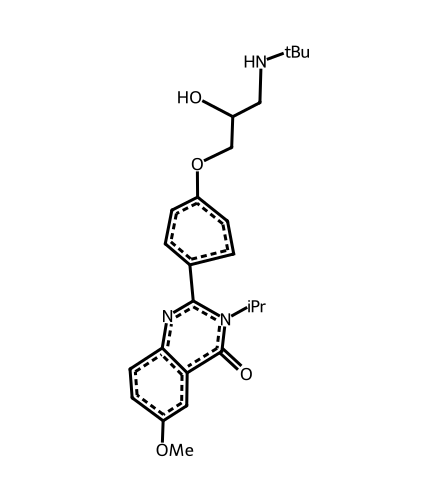 COc1ccc2nc(-c3ccc(OCC(O)CNC(C)(C)C)cc3)n(C(C)C)c(=O)c2c1